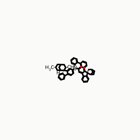 C[C@@H]1CC2C[C@@H](C1)[C@@]1(c3ccccc3-c3ccc(N(c4ccc5c(c4)-c4ccccc4[C@]54CC5CCC4C5)c4ccccc4-c4ccccc4)cc31)[C@@H](C)C2